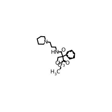 CCOC(=O)C(CC)(C(=O)NCCCN1CCCCC1)c1ccccc1